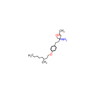 CCCCCC(C)CCOc1ccc(CC[C@](N)(CO)CCC)cc1